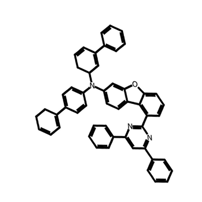 C1=CCCC(c2ccc(N(c3ccc4c(c3)oc3cccc(-c5nc(-c6ccccc6)cc(-c6ccccc6)n5)c34)C3C=C(c4ccccc4)C=CC3)cc2)=C1